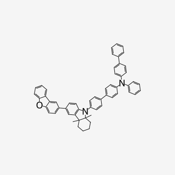 CC12CCCCC1(C)N(c1ccc(-c3ccc(N(c4ccccc4)c4ccc(-c5ccccc5)cc4)cc3)cc1)c1ccc(-c3ccc4oc5ccccc5c4c3)cc12